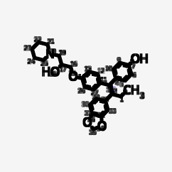 CC/C(=C(\c1ccc(O)cc1)c1ccc(OCC(O)CN2CCCCC2)cc1)c1ccc2c(c1)OCO2